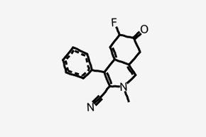 CN1C=C2CC(=O)C(F)C=C2C(c2ccccc2)=C1C#N